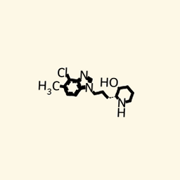 Cc1ccc2c(ncn2CCC[C@H]2NCCC[C@@H]2O)c1Cl